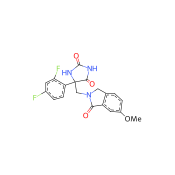 COc1ccc2c(c1)C(=O)N(CC1(c3ccc(F)cc3F)NC(=O)NC1=O)C2